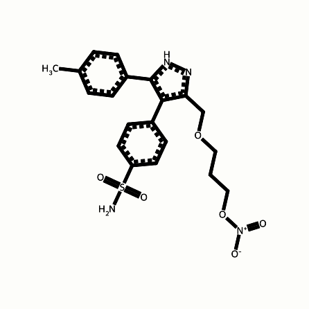 Cc1ccc(-c2[nH]nc(COCCCO[N+](=O)[O-])c2-c2ccc(S(N)(=O)=O)cc2)cc1